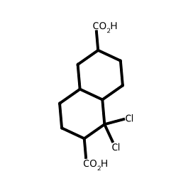 O=C(O)C1CCC2C(CCC(C(=O)O)C2(Cl)Cl)C1